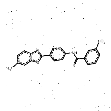 Cc1ccc2nc(-c3ccc(NC(=O)c4cccc([N+](=O)[O-])c4)cc3)sc2c1